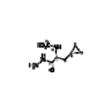 NNC(=O)C(CC1CC1)NC(=O)O